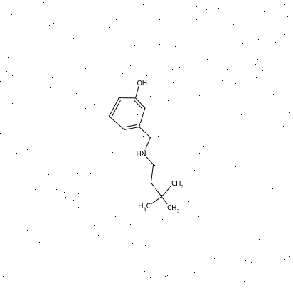 CC(C)(C)CCNCc1cccc(O)c1